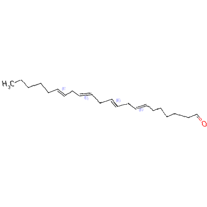 CCCCC/C=C/C/C=C/C/C=C/C/C=C/CCCCCC=O